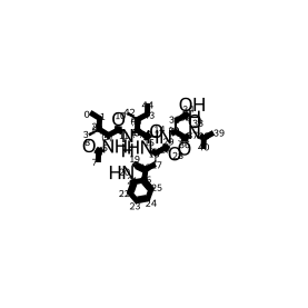 CC[C@H](C)[C@H](NC(C)=O)C(=O)N[C@H](C(=O)N[C@@H](Cc1c[nH]c2ccccc12)C(=O)N[C@@H](CC(=O)O)C(=O)NC(C)C)[C@@H](C)CC